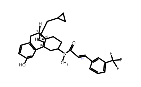 CN(C(=O)/C=C/c1cccc(C(F)(F)F)c1)C1CC[C@@]2(O)[C@H]3Cc4ccc(O)cc4[C@@]2(CCN3CC2CC2)C1